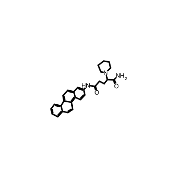 NC(=O)C(CCC(=O)Nc1ccc2c(ccc3c4ccccc4ccc23)c1)N1CCCCC1